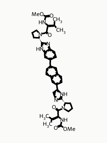 COC(=O)NC(C(=O)N1CCC[C@H]1c1ncc(-c2ccc3cc(-c4ccc5nc([C@@H]6CCCN6C(=O)C(NC(=O)OC)=C(C)C)[nH]c5c4)ccc3c2)[nH]1)=C(C)C